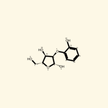 OC[C@H]1O[C@@H](O)[C@H](Oc2ccccc2O)[C@@H]1O